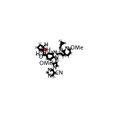 COc1ccc2cc(-c3nc4cc(C(=O)N5C[C@H]6CC[C@@H]5[C@@H]6N)cc(OC)c4n3CC3CN(c4ncncc4C#N)C3)n(CC3CC3)c2n1